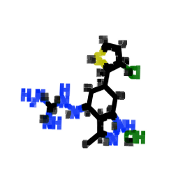 Cc1n[nH]c2c1C(=NNC(=N)N)CC(c1sccc1Cl)C2.Cl